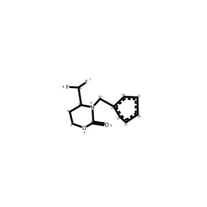 O=C1OCCC(C(F)F)N1Cc1ccccc1